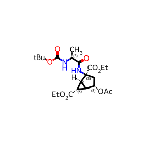 CCOC(=O)[C@H]1C2[C@@H](OC(C)=O)C[C@@](NC(=O)[C@H](C)NC(=O)OC(C)(C)C)(C(=O)OCC)[C@@H]21